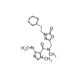 C=Nc1ncn(C)c1C(=O)N(C)Cc1nn(CCc2ccccc2)c(=O)o1